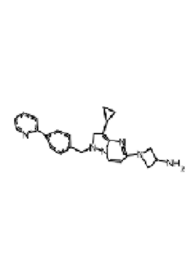 NC1CN(C2=NC3=C(C4CC4)CN(Cc4ccc(-c5ccccn5)cc4)N3C=C2)C1